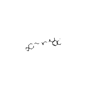 Cc1c(C(=O)NCC(=O)OCCN2CCC3(CC2)COC3)ccc2c1B(O)OC2